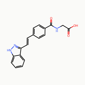 O=C(O)CNC(=O)c1ccc(C=Cc2n[nH]c3ccccc23)cc1